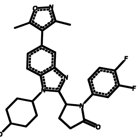 Cc1noc(C)c1-c1ccc2c(c1)nc(C1CCC(=O)N1c1ccc(F)c(F)c1)n2C1CCC(O)CC1